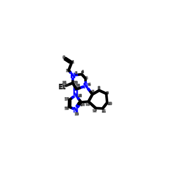 C=CCN1CCN(C2CCCCCC2c2ncc[nH]2)CC1CC